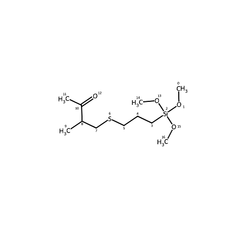 CO[Si](CCCSCC(C)C(C)=O)(OC)OC